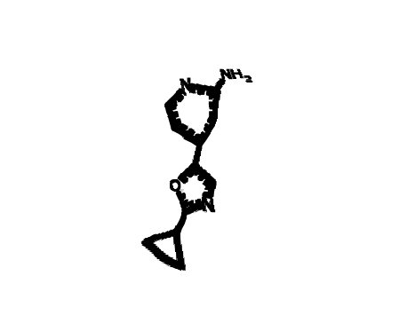 Nc1cc(-c2cnc(C3CC3)o2)ccn1